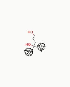 OCCCC(O)([C]12[CH]3[CH]4[CH]5[CH]1[Fe]45321678[CH]2[CH]1[CH]6[CH]7[CH]28)[C]12[CH]3[CH]4[CH]5[CH]1[Fe]45321678[CH]2[CH]1[CH]6[CH]7[CH]28